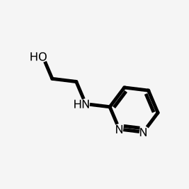 OCCNc1cccnn1